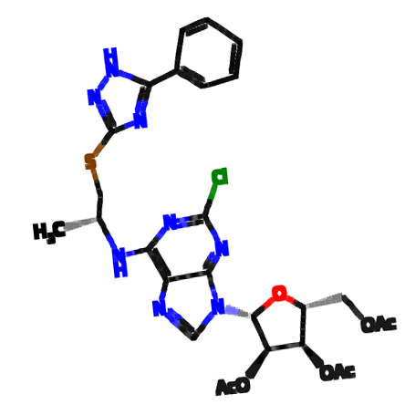 CC(=O)OC[C@H]1O[C@@H](n2cnc3c(N[C@H](C)CSc4n[nH]c(-c5ccccc5)n4)nc(Cl)nc32)[C@H](OC(C)=O)[C@@H]1OC(C)=O